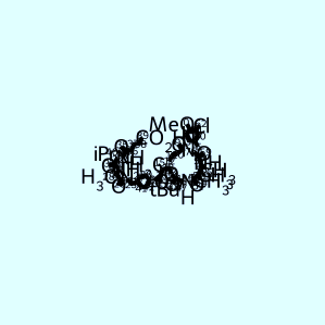 COc1ccc(C[C@H]2NC(=O)/C=C/C[C@@H]([C@H](C)[C@H]3O[C@@H]3c3ccc(CNC(=O)[C@H](C)NC(=O)[C@@H](NC(=O)CCCC(=O)O)C(C)C)cc3)OC(=O)[C@H](CC(C)(C)C)NC(=O)C(C)(C)C(C)NC2=O)cc1Cl